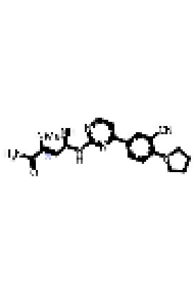 CN/C(=C\C(=N)Nc1nccc(-c2ccc(N3CCCC3)c(C#N)c2)n1)C(N)=O